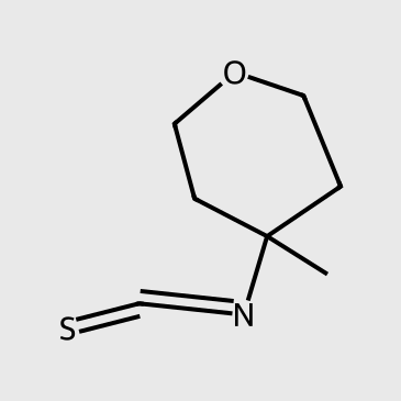 CC1(N=C=S)CCOCC1